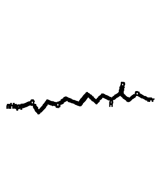 CCCCCCCOCCOCCCCCNC(=O)COC(C)C